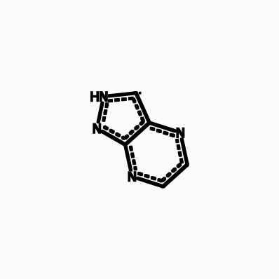 [c]1[nH]nc2nccnc12